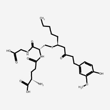 CCCCC[C@@H](CC(=O)CCc1ccc(O)c(OC)c1)SC[C@H](NC(=O)CC[C@H](N)C(=O)O)C(=O)NCC(=O)O